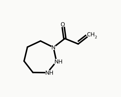 C=CC(=O)N1CCCCNN1